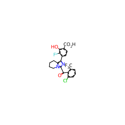 O=C(O)c1ccc(-c2nc(C(=O)c3c(Cl)cccc3C(F)(F)F)n3c2CCCC3)c(F)c1O